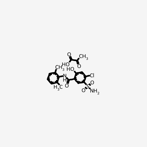 CC(=O)C(=O)O.Cc1cccc(C)c1NC(=O)c1cc(S(N)(=O)=O)c(Cl)cc1O